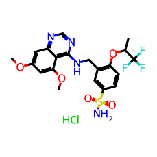 COc1cc(OC)c2c(NCc3cc(S(N)(=O)=O)ccc3OC(C)C(F)(F)F)ncnc2c1.Cl